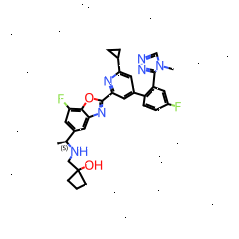 C[C@H](NCC1(O)CCC1)c1cc(F)c2oc(-c3cc(-c4ccc(F)cc4-c4nncn4C)cc(C4CC4)n3)nc2c1